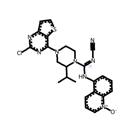 CC(C)C1CN(c2nc(Cl)nc3ccsc23)CCN1/C(=N\C#N)Nc1cccc2c1ccc[n+]2[O-]